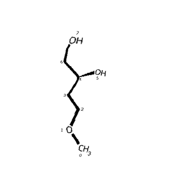 COCC[C@H](O)CO